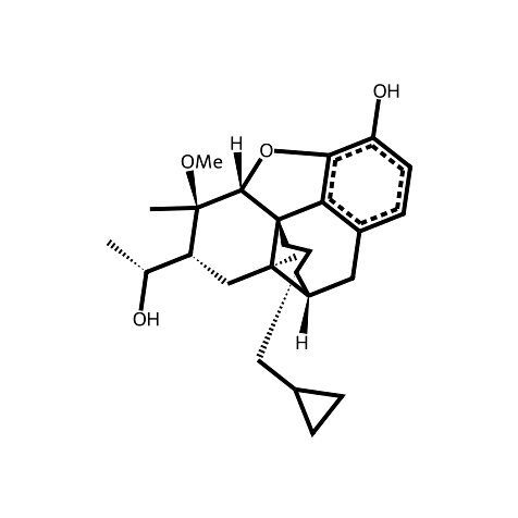 CO[C@]1(C)[C@@H]([C@@H](C)O)C[C@]2(C)[C@H]3Cc4ccc(O)c5c4[C@@]2(CC[C@H]3CC2CC2)[C@H]1O5